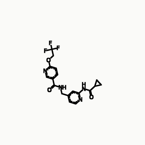 O=C(NCc1ccnc(NC(=O)C2CC2)c1)c1ccc(OCC(F)(F)F)nc1